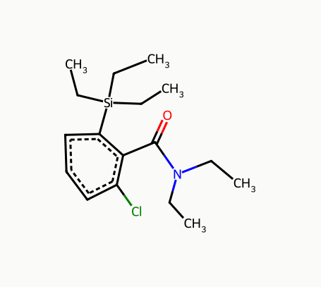 CCN(CC)C(=O)c1c(Cl)cccc1[Si](CC)(CC)CC